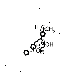 CN(C)c1ccc(C(=O)CCCC2CCN(Cc3ccccc3)CC2)cc1.O=C(O)/C=C/C(=O)O